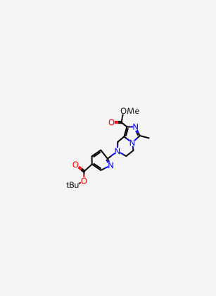 COC(=O)c1nc(C)n2c1CN(c1ccc(C(=O)OC(C)(C)C)cn1)CC2